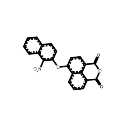 O=C1OC(=O)c2ccc(Oc3ccc4ccccc4c3[N+](=O)[O-])c3cccc1c23